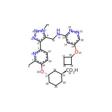 Cc1nc(-c2nnn(C)c2CNc2cc(OC3CCC3)cnn2)ccc1O[C@H]1CCC[C@H](C(=O)O)C1